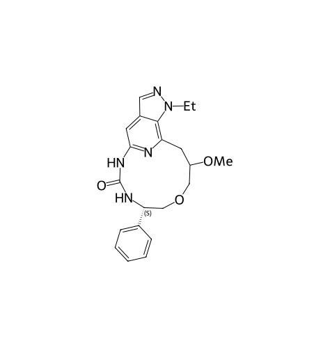 CCn1ncc2cc3nc(c21)CC(OC)COC[C@H](c1ccccc1)NC(=O)N3